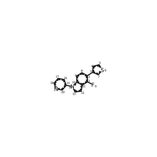 Fc1c(-c2ccsc2)ccc2c1ccn2-c1cccnc1